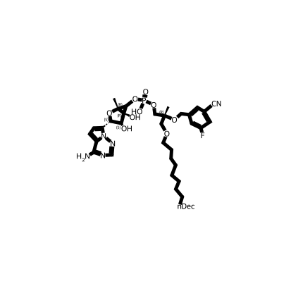 CCCCCCCCCCCCCCCCCCOC[C@](C)(COP(=O)(O)OC1[C@@]2(C)O[C@@H](c3ccc4c(N)ncnn34)[C@H](O)[C@@]12O)OCc1cc(F)cc(C#N)c1